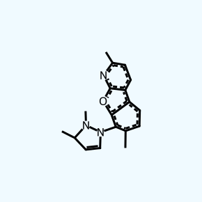 Cc1ccc2c(n1)oc1c(N3C=CC(C)N3C)c(C)ccc12